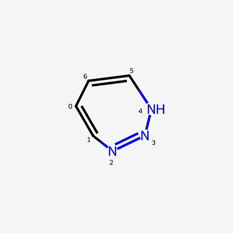 C1=CN=NNC=C1